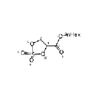 CCCCCCOC(=O)C1COS(=O)(=O)O1